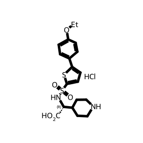 CCOc1ccc(-c2ccc(S(=O)(=O)N[C@@H](C(=O)O)C3CCNCC3)s2)cc1.Cl